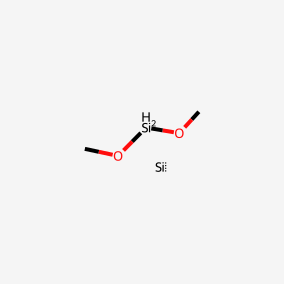 CO[SiH2]OC.[Si]